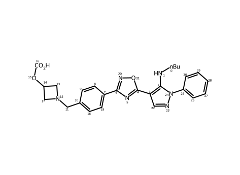 CCCCNc1c(-c2nc(-c3ccc(CN4CC(OC(=O)O)C4)cc3)no2)cnn1-c1ccccc1